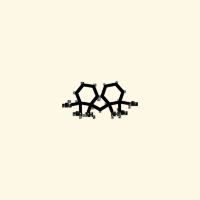 CCCCC1(CCCC)CCCCC1(N)CC1(N)CCCCC1(CCCC)CCCC